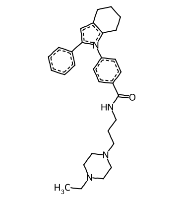 CCN1CCN(CCCNC(=O)c2ccc(-n3c(-c4ccccc4)cc4c3CCCC4)cc2)CC1